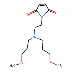 COCCCN(CCCOC)CCN1C(=O)C=CC1=O